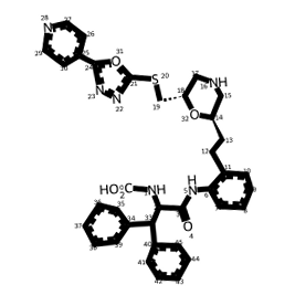 O=C(O)NC(C(=O)Nc1ccccc1CC[C@@H]1CNC[C@@H](CSc2nnc(-c3ccncc3)o2)O1)C(c1ccccc1)c1ccccc1